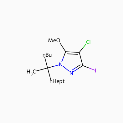 CCCCCCCC(C)(CCCC)n1nc(I)c(Cl)c1OC